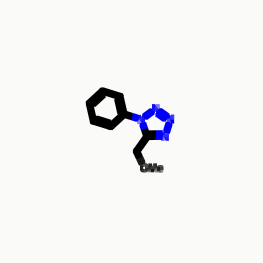 [CH2]OCc1nnnn1-c1ccccc1